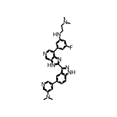 CN(C)CCNc1cc(F)cc(-c2cncc3[nH]c(-c4n[nH]c5ccc(-c6cncc(N(C)C)c6)cc45)nc23)c1